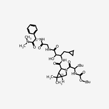 CN(C)C(=O)[C@@H](NC(=O)CNC(=O)C(O)C(CC1CC1)NC(=O)C1C2[C@H](CN1C(=O)C(NC(=O)OC(C)(C)C)C(C)(C)C)C2(C)C)c1ccccc1